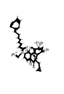 COc1cc(O)c2c3c1O[C@H]1[C@@H](N(CC(C)C)C(=O)CCCCCCCc4ccccc4)CC[C@H]4[C@@H](C2)N(CC2CC2)CC[C@@]341